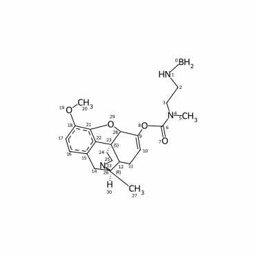 BNCCN(C)C(=O)OC1=CCC2[C@H]3Cc4ccc(OC)c5c4[C@@]2(CCN3C)C1O5